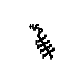 [CH2]OCC(F)(F)C(F)(F)C(F)(F)C(F)(F)F